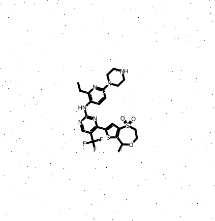 CCc1nc(N2CCNCC2)ccc1Nc1ncc(C(F)(F)F)c(-c2cc3c(s2)C(C)OCCS3(=O)=O)n1